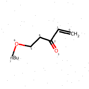 C=CC(=O)CCOCCCC